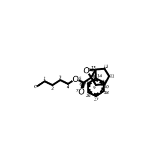 CCCCCOC(=O)C12CCCCC1(c1ccccc1)O2